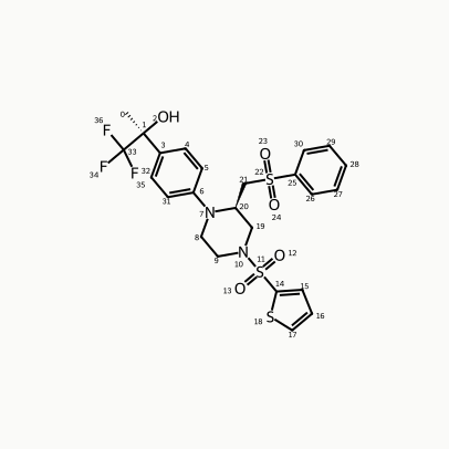 C[C@](O)(c1ccc(N2CCN(S(=O)(=O)c3cccs3)C[C@@H]2CS(=O)(=O)c2ccccc2)cc1)C(F)(F)F